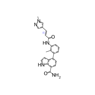 Cc1c(NC(=O)/C=C/c2cnn(C)c2)cccc1-c1ccc(C(N)=O)c2[nH]ccc12